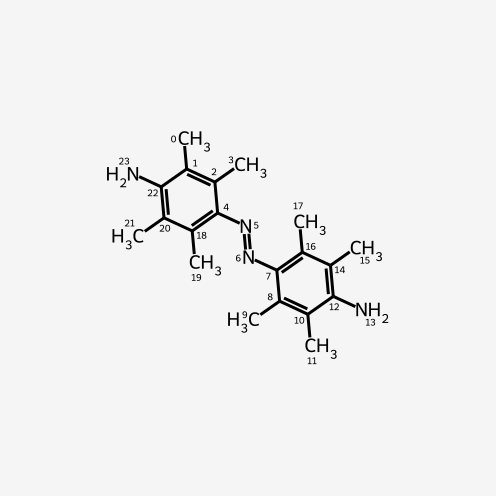 Cc1c(C)c(N=Nc2c(C)c(C)c(N)c(C)c2C)c(C)c(C)c1N